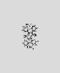 Cc1cccc(N2C(=O)C3=C(c4ccccc4)N(c4cccc(C)c4)C(=O)C3=C2c2ccccc2)c1